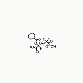 O=C(OC(F)(OCC(F)(F)S(=O)(=O)O)C(=O)O)C1CCCCC1